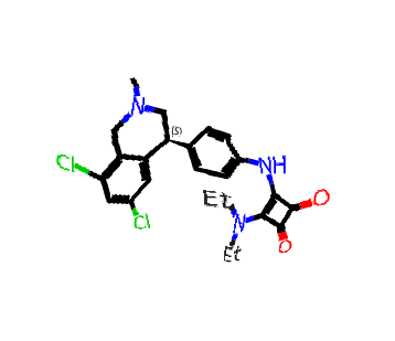 CCN(CC)c1c(Nc2ccc([C@@H]3CN(C)Cc4c(Cl)cc(Cl)cc43)cc2)c(=O)c1=O